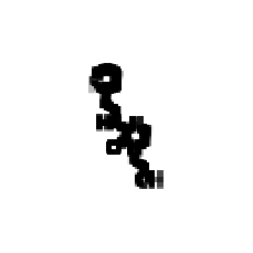 O=c1c(NCCc2ccccn2)nccn1CCO